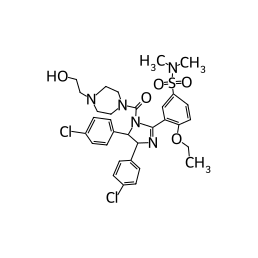 CCOc1ccc(S(=O)(=O)N(C)C)cc1C1=NC(c2ccc(Cl)cc2)C(c2ccc(Cl)cc2)N1C(=O)N1CCN(CCO)CC1